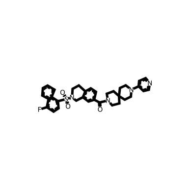 O=C(c1ccc2c(c1)CN(S(=O)(=O)c1ccc(F)c3ccccc13)CC2)N1CCC2(CC1)CCN(c1ccncc1)CC2